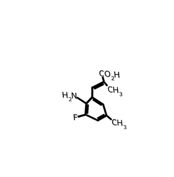 CC(=Cc1cc(C)cc(F)c1N)C(=O)O